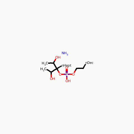 CCCCCCCCCCCCOP(=O)(O)OC(CCCCCCC)(C(C)O)C(C)O.N